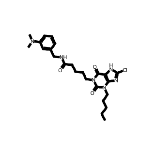 CCCCCn1c(=O)n(CCCCC(=O)NCc2cccc(N(C)C)c2)c(=O)c2[nH]c(Cl)nc21